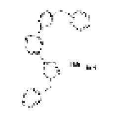 Br.Br.C1=CN(c2cccc(N3C=CN(Cc4ccccc4)C3)c2)CN1Cc1ccccc1